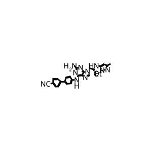 CCn1nc(C)cc1NC(=O)Cn1cnc2c(Nc3ccc(-c4ccc(C#N)cc4)cc3)nc(N)nc21